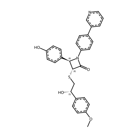 COc1ccc([C@H](O)CS[C@H]2C(=O)N(c3ccc(-c4cccnc4)cc3)[C@@H]2c2ccc(O)cc2)cc1